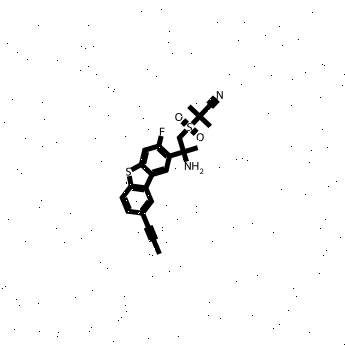 CC#Cc1ccc2sc3cc(F)c(C(C)(N)CS(=O)(=O)C(C)(C)C#N)cc3c2c1